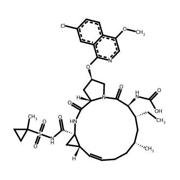 CC[C@@H]1C[C@H](C)CCC=C[C@@H]2C[C@@]2(C(=O)NS(=O)(=O)C2(C)CC2)NC(=O)[C@@H]2C[C@@H](Oc3ncc(OC)c4ccc(Cl)cc34)CN2C(=O)[C@H]1NC(=O)O